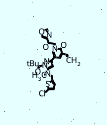 C=Cc1cc(-c2cc(N(C)Cc3ccc(Cl)s3)n(C(=O)C(C)(C)C)n2)cn(CC(=O)c2cocn2)c1=O